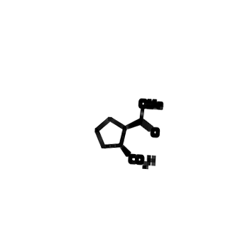 COC(=O)[C@@H]1CCC[C@@H]1C(=O)O